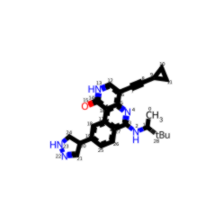 CC(Nc1nc2c(C#CC3CC3)c[nH]c(=O)c2c2cc(C3C=NNC3)ccc12)C(C)(C)C